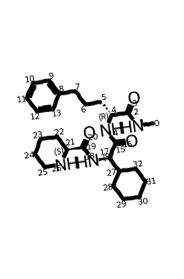 CNC(=O)[C@@H](CCCc1ccccc1)NC(=O)[C@H](NC(=O)[C@@H]1CCCCN1)C1CCCCC1